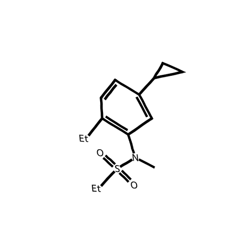 CCc1ccc(C2CC2)cc1N(C)S(=O)(=O)CC